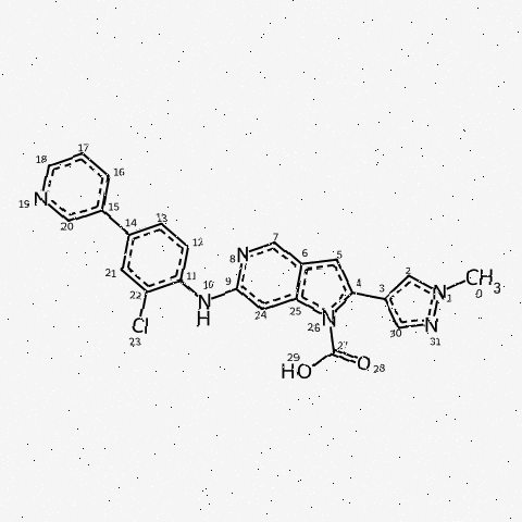 Cn1cc(-c2cc3cnc(Nc4ccc(-c5cccnc5)cc4Cl)cc3n2C(=O)O)cn1